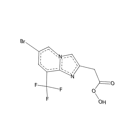 O=C(Cc1cn2cc(Br)cc(C(F)(F)F)c2n1)OO